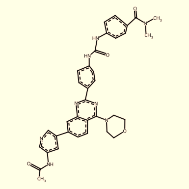 CC(=O)Nc1cncc(-c2ccc3c(N4CCOCC4)nc(-c4ccc(NC(=O)Nc5ccc(C(=O)N(C)C)cc5)cc4)nc3c2)c1